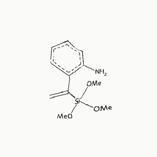 C=C(c1ccccc1N)[Si](OC)(OC)OC